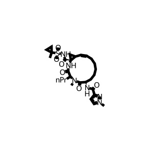 CCCC1C(=O)N[C@]2(C(=O)NS(=O)(=O)C3(C)CC3)CC2/C=C\CCCCC[C@H](NC(=O)c2ccn(C)n2)C(=O)N1C